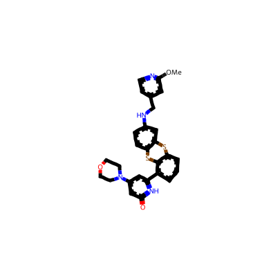 COc1cc(CNc2ccc3c(c2)Sc2cccc(-c4cc(N5CCOCC5)cc(=O)[nH]4)c2S3)ccn1